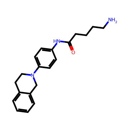 NCCCCC(=O)Nc1ccc(N2CCc3ccccc3C2)cc1